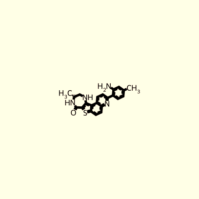 Cc1ccc(-c2ccc3c(ccc4sc5c(c43)NC[C@@H](C)NC5=O)n2)c(N)c1